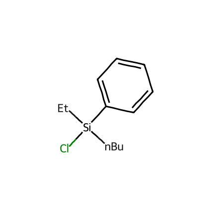 CCCC[Si](Cl)(CC)c1ccccc1